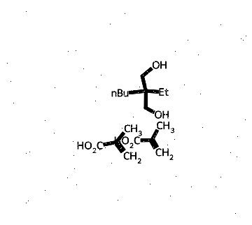 C=C(C)C(=O)O.C=C(C)C(=O)O.CCCCC(CC)(CO)CO